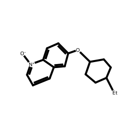 CCC1CCC(Oc2ccc3c(ccc[n+]3[O-])c2)CC1